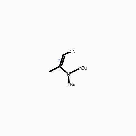 CCCCN(CCCC)/C(C)=C\C#N